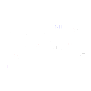 CCOC(=O)c1[nH]cc(C(=O)Cc2cccc(OCI)c2)c1C